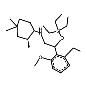 CCc1cccc(OC)c1C(CNC1CCC(C)(C)C[C@@H]1C)O[Si](CC)(CC)CC